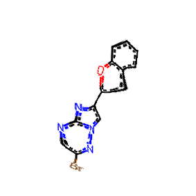 Brc1cnc2nc(-c3cc4ccccc4o3)cn2n1